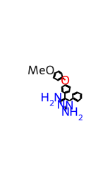 COc1ccc(Oc2ccc(-c3c(N)nc(N)nc3-c3ccccc3)cc2)cc1